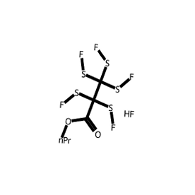 CCCOC(=O)C(SF)(SF)C(SF)(SF)SF.F